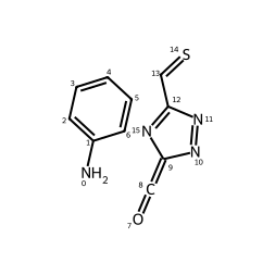 Nc1ccccc1.O=C=C1N=NC(C=S)=N1